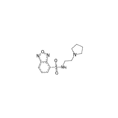 O=S(=O)(NCCN1CCCC1)c1cccc2nonc12